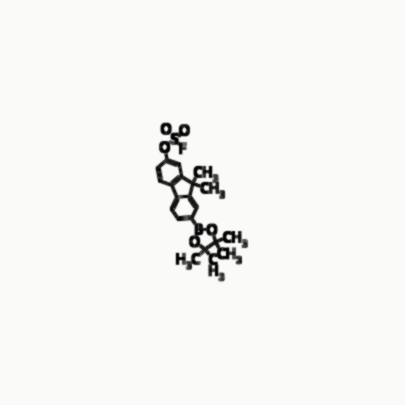 CC1(C)c2cc(OS(=O)(=O)F)ccc2-c2ccc(B3OC(C)(C)C(C)(C)O3)cc21